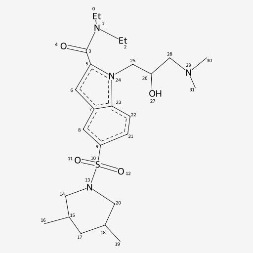 CCN(CC)C(=O)c1cc2cc(S(=O)(=O)N3CC(C)CC(C)C3)ccc2n1CC(O)CN(C)C